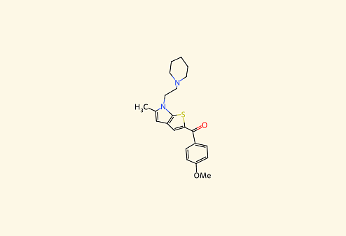 COc1ccc(C(=O)c2cc3cc(C)n(CCN4CCCCC4)c3s2)cc1